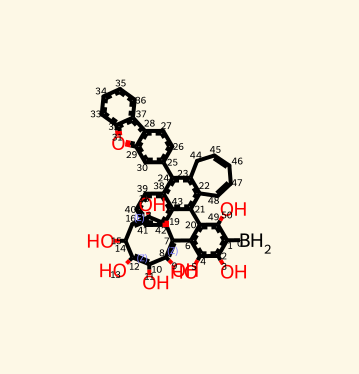 Bc1c(O)c(O)c(/C2=C(O)/C(O)=C(/O)C(O)/C=C(/O)C2)c(-c2c3c(c(-c4ccc5c(c4)oc4ccccc45)c4ccccc24)CC=CC=C3)c1O